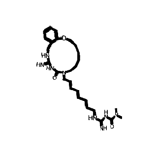 CN(C)C(=O)NC(=N)NCCCCCCCCN1CCCCCCOc2ccccc2CNC(=N)NC1=O